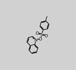 Cc1ccc(S(=O)(=O)O[n+]2cccc3ccccc32)cc1